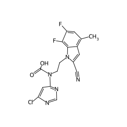 Cc1cc(F)c(F)c2c1cc(C#N)n2CCN(C(=O)O)c1cc(Cl)ncn1